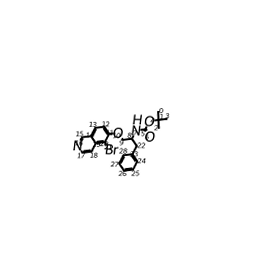 CC(C)(C)OC(=O)NC(COc1ccc2cnccc2c1Br)Cc1ccccc1